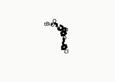 CC(C)(C)OC(=O)CCN1CCC2(CC1)COc1cc(OCCCc3ccc(Cl)cc3)ccc12